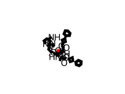 C[C@H](Cn1cnc2c(N)ccnc21)OCP(=O)(NC(C)(C)C(=O)OC1CC(c2ccccc2)C1)NC(C)(C)C(=O)O[C@H]1C[C@@H](c2ccccc2)C1